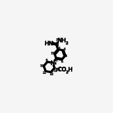 N=C(N)c1cccc(N2CCCC[C@H]2C(=O)O)c1